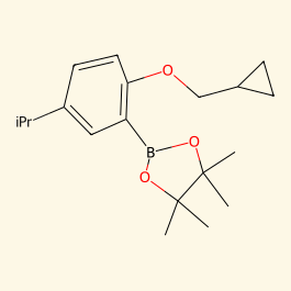 CC(C)c1ccc(OCC2CC2)c(B2OC(C)(C)C(C)(C)O2)c1